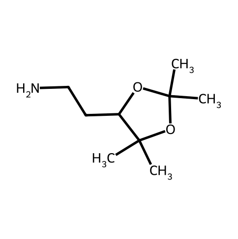 CC1(C)OC(CCN)C(C)(C)O1